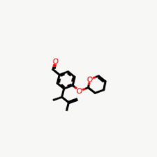 C=C(C)C(C)c1cc(C=O)ccc1OC1CCC=CO1